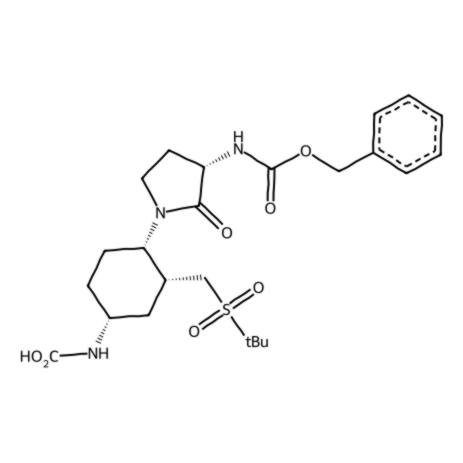 CC(C)(C)S(=O)(=O)C[C@@H]1C[C@H](NC(=O)O)CC[C@@H]1N1CC[C@H](NC(=O)OCc2ccccc2)C1=O